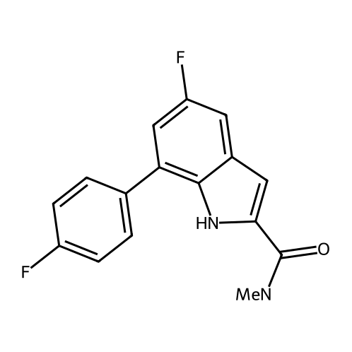 CNC(=O)c1cc2cc(F)cc(-c3ccc(F)cc3)c2[nH]1